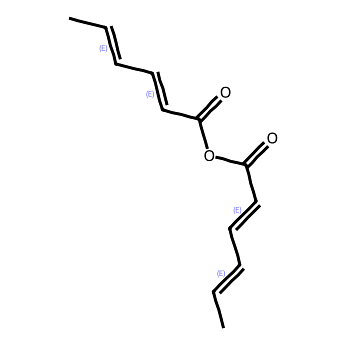 C/C=C/C=C/C(=O)OC(=O)/C=C/C=C/C